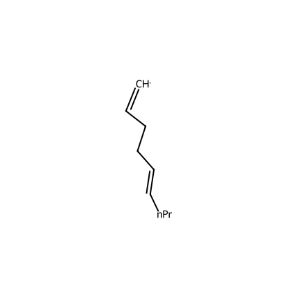 [CH]=CCC/C=C/CCC